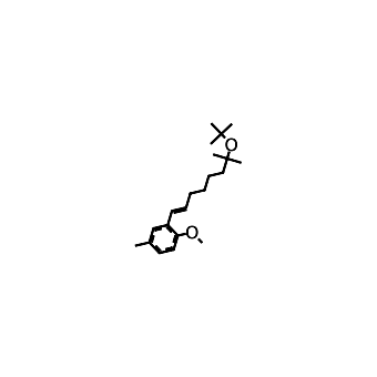 COc1ccc(C)cc1/C=C/CCCCC(C)(C)OC(C)(C)C